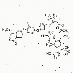 CC1(C)OC(c2ccco2)CN1C(=O)C(Cl)Cl.CCc1cccc(C)c1N(C(=O)CCl)C(C)COC.COC(=O)c1cc(Oc2ccc(Cl)cc2Cl)ccc1[N+](=O)[O-].O=C(O)CNCP(=O)(O)O